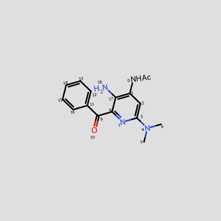 CC(=O)Nc1cc(N(C)C)nc(C(=O)c2ccccc2)c1N